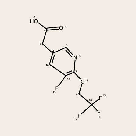 O=C(O)Cc1cnc(OCC(F)(F)F)c(F)c1